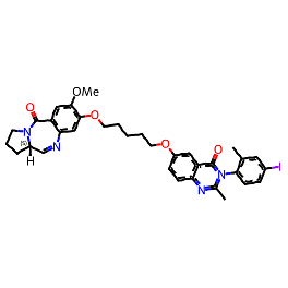 COc1cc2c(cc1OCCCCCOc1ccc3nc(C)n(-c4ccc(I)cc4C)c(=O)c3c1)N=C[C@@H]1CCCN1C2=O